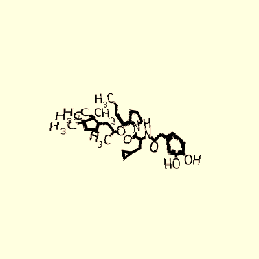 CC/C=C(/OC(C)CC1CCC(C)(C)C1(C)C)C1CCCN1C(=O)C(CC1CC1)NC(=O)Cc1ccc(O)c(O)c1